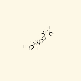 CNc1cc(C(CO)NC(=O)C(C)N2Cc3ccc(-c4nc(NC5CCOCC5)ncc4Cl)cc3C2=O)ccn1